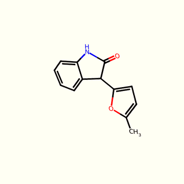 Cc1ccc(C2C(=O)Nc3ccccc32)o1